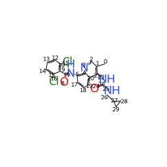 Cc1cnc2c(NC(=O)c3c(Cl)cccc3Cl)cccc2c1NC(=O)NCC1CC1